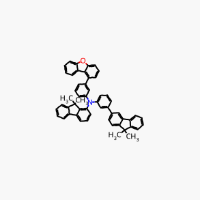 CC1(C)c2ccccc2-c2cc(-c3cccc(N(c4cccc(-c5cccc6oc7ccccc7c56)c4)c4cccc5c4C(C)(C)c4ccccc4-5)c3)ccc21